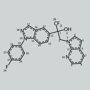 OC(Cn1ccc2cccnc21)(c1ccc2c(cnn2-c2ccc(F)cc2)c1)C(F)(F)F